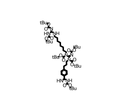 CC(C)(C)OC(=O)/N=C(/NCCCCCCCCN(C(=O)OC(C)(C)C)/C(=N\C(=O)OC(C)(C)C)N(CCCc1ccc(C(=N)NC(=O)OC(C)(C)C)cc1)C(=O)OC(C)(C)C)NC(=O)OC(C)(C)C